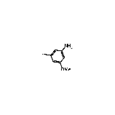 [CH2]c1cc(N)cc(OC)c1